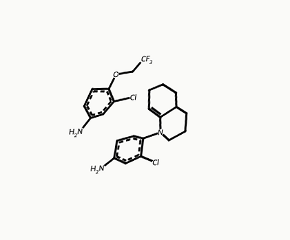 Nc1ccc(N2CCCC3CCCC=C32)c(Cl)c1.Nc1ccc(OCC(F)(F)F)c(Cl)c1